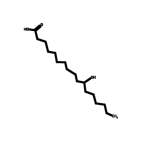 CCCCCCC(O)CCCCCCCCCC(=O)O